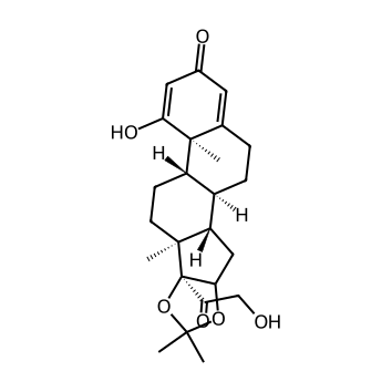 CC1(C)OC2C[C@H]3[C@@H]4CCC5=CC(=O)C=C(O)[C@]5(C)[C@H]4CC[C@]3(C)[C@]2(C(=O)CO)O1